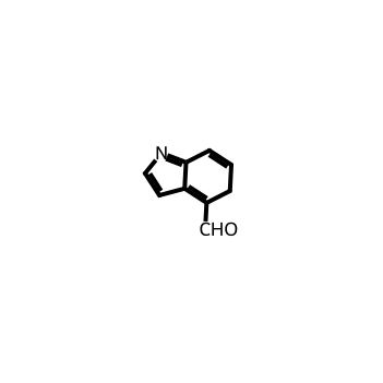 O=CC1=C2C=CN=C2C=CC1